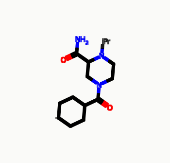 CC(C)N1CCN(C(=O)C2CC[CH]CC2)CC1C(N)=O